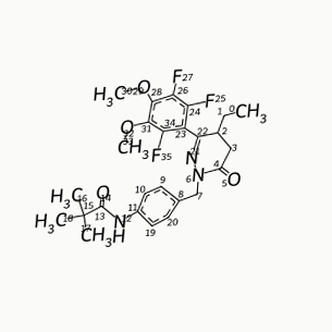 CCC1CC(=O)N(Cc2ccc(NC(=O)C(C)(C)C)cc2)N=C1c1c(F)c(F)c(OC)c(OC)c1F